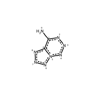 Nc1nnnn2nnnc12